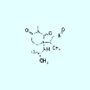 CC(=O)NC1(C(C)CN=O)CCC(=O)NC1=O